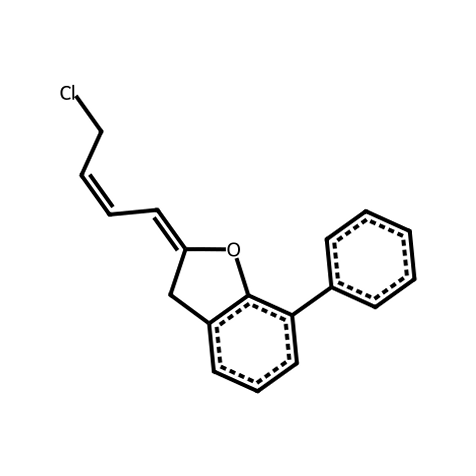 ClC/C=C\C=C1/Cc2cccc(-c3ccccc3)c2O1